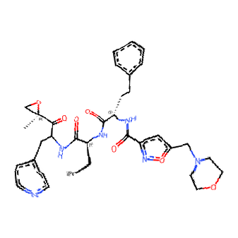 CC(C)C[C@H](NC(=O)[C@H](CCc1ccccc1)NC(=O)c1cc(CN2CCOCC2)on1)C(=O)NC(Cc1ccncc1)C(=O)[C@@]1(C)CO1